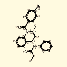 CCC(=O)N(c1ccccc1)[C@H]1C[C@@H](C)N(C(=O)c2ccc(Br)cc2)c2ccccc21